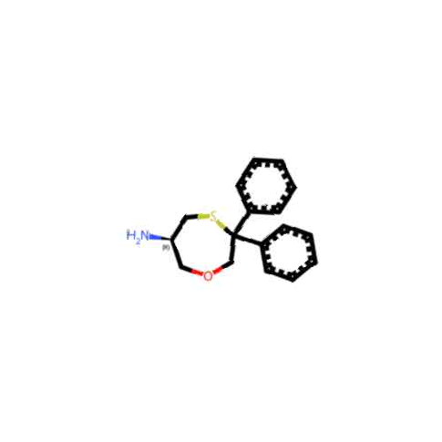 N[C@@H]1COCC(c2ccccc2)(c2ccccc2)SC1